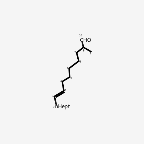 CCCCCCCC=CCCCCCC(C)C=O